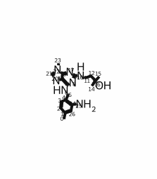 Cc1ccc(CNc2nc(NCCC(C)(C)O)nc3c2ncn3C)c(N)c1